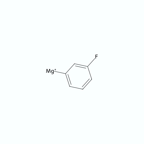 Fc1ccc[c]([Mg+])c1